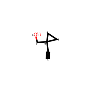 C#CC1(CO)CC1